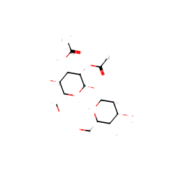 CC(C)C(=O)O[C@H]1[C@@H](O[C@H]2O[C@H](CO)[C@@H](O)[C@H](O)[C@H]2O)O[C@H](CO)[C@@H](O)[C@@H]1OC(=O)C(C)C